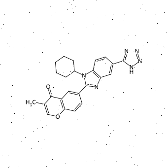 Cc1coc2ccc(-c3nc4cc(-c5nnn[nH]5)ccc4n3C3CCCCC3)cc2c1=O